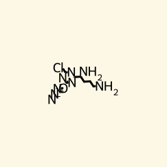 [N-]=[N+]=NOc1nc(Cl)nc(C(N)CCCN)n1